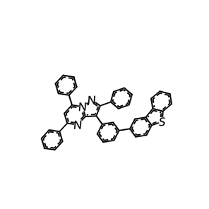 c1ccc(-c2cc(-c3ccccc3)n3nc(-c4ccccc4)c(-c4cccc(-c5ccc6sc7ccccc7c6c5)c4)c3n2)cc1